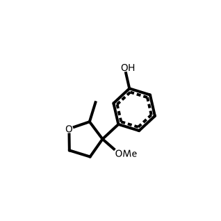 COC1(c2cccc(O)c2)CCOC1C